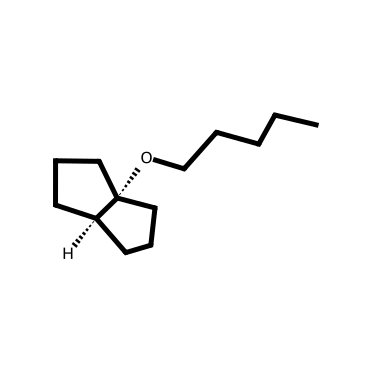 CCCCCO[C@]12CCC[C@H]1CCC2